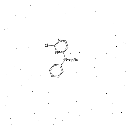 CCCCN(c1ccccc1)c1ccnc(Cl)n1